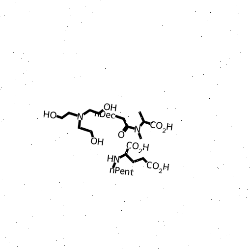 CCCCCCCCCCCC(=O)N(C)C(C)C(=O)O.CCCCCNC(CCC(=O)O)C(=O)O.OCCN(CCO)CCO